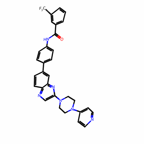 O=C(Nc1ccc(-c2ccc3ncc(N4CCN(c5ccncc5)CC4)nc3c2)cc1)c1cccc(C(F)(F)F)c1